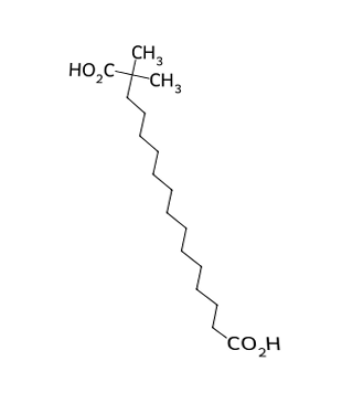 CC(C)(CCCCCCCCCCCCCC(=O)O)C(=O)O